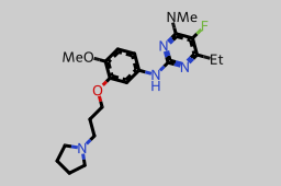 CCc1nc(Nc2ccc(OC)c(OCCCN3CCCC3)c2)nc(NC)c1F